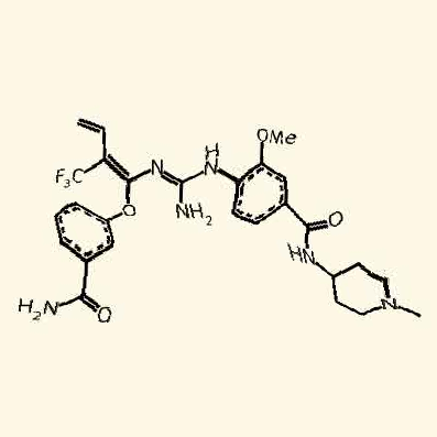 C=C/C(=C(\N=C(/N)Nc1ccc(C(=O)NC2CCN(C)CC2)cc1OC)Oc1cccc(C(N)=O)c1)C(F)(F)F